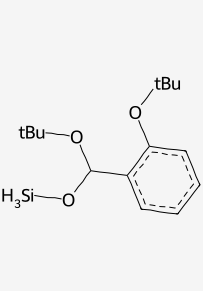 CC(C)(C)Oc1ccccc1C(O[SiH3])OC(C)(C)C